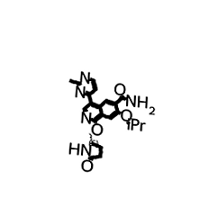 Cc1nccc(-c2cnc(OC[C@@H]3CCC(=O)N3)c3cc(OC(C)C)c(C(N)=O)cc23)n1